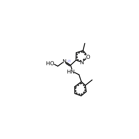 Cc1cc(/C(=N/CO)NCc2ccccc2C)no1